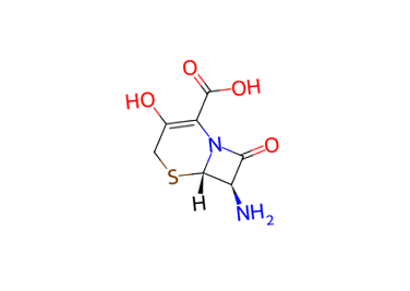 N[C@@H]1C(=O)N2C(C(=O)O)=C(O)CS[C@@H]12